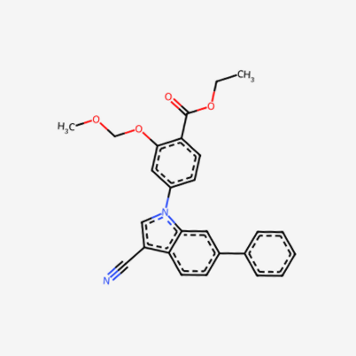 CCOC(=O)c1ccc(-n2cc(C#N)c3ccc(-c4ccccc4)cc32)cc1OCOC